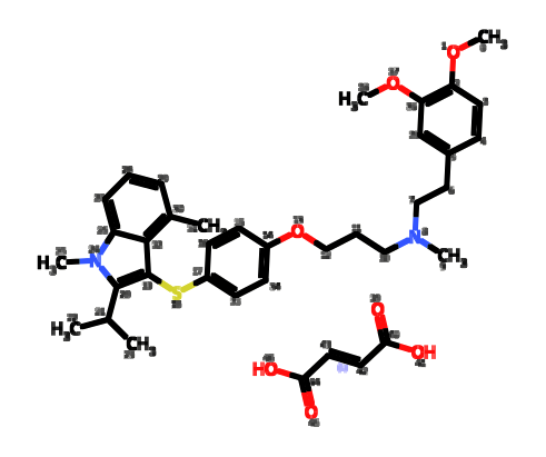 COc1ccc(CCN(C)CCCOc2ccc(Sc3c(C(C)C)n(C)c4cccc(C)c34)cc2)cc1OC.O=C(O)/C=C/C(=O)O